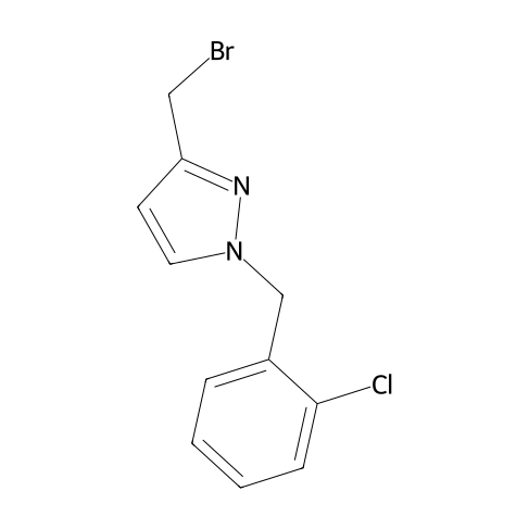 Clc1ccccc1Cn1ccc(CBr)n1